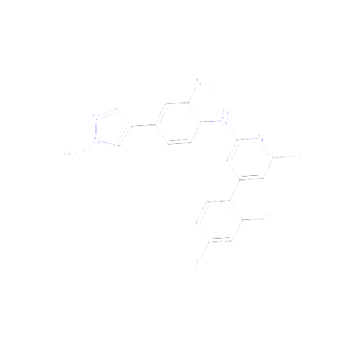 Cn1cc(-c2ccc(Nc3cc(-c4ccc(F)cc4F)cc(Cl)n3)c([N+](=O)[O-])c2)cn1